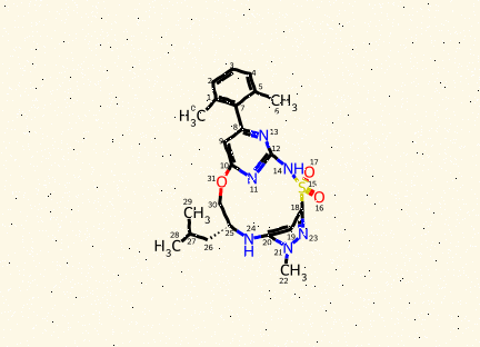 Cc1cccc(C)c1-c1cc2nc(n1)NS(=O)(=O)c1cc(n(C)n1)N[C@H](CC(C)C)CO2